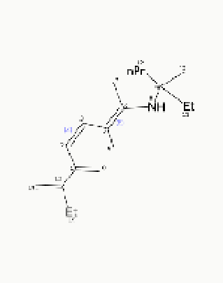 C=C(/C=C\C(C)=C(/C)NC(C)(CC)CCC)C(=C)CC